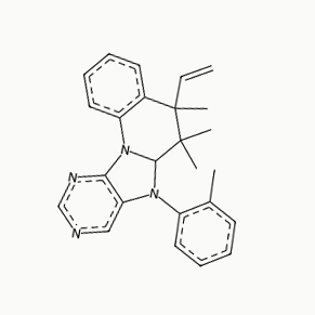 C=CC1(C)c2ccccc2N2c3ncncc3N(c3ccccc3C)C2C1(C)C